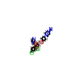 N#CN1CCN(c2ccc(OC[C@@H]3CO[C@@](Cn4ccnc4)(c4ccc(Cl)cc4Cl)O3)cc2)CC1